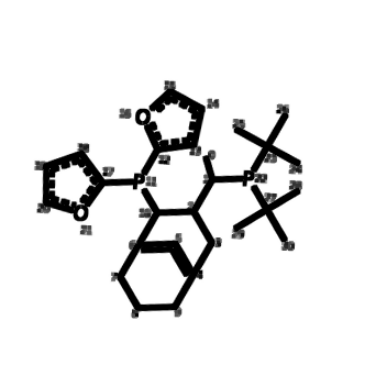 CC(C1CC2=C=C(CCC2)C1P(c1ccco1)c1ccco1)P(C(C)(C)C)C(C)(C)C